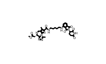 COC(=O)C[C@@H]1N=Cc2c(sc(C(=O)NCCCCCNc3cccc4c3C(=O)N(C3CCC(=O)NC3=O)C4=O)c2C)-n2c(C)nnc21